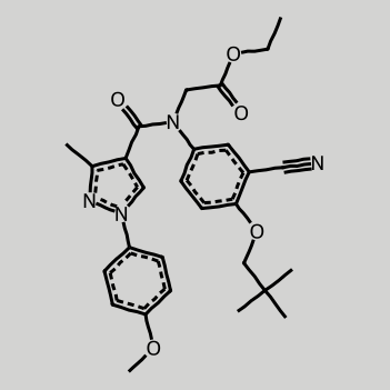 CCOC(=O)CN(C(=O)c1cn(-c2ccc(OC)cc2)nc1C)c1ccc(OCC(C)(C)C)c(C#N)c1